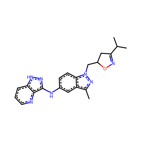 Cc1nn(CC2CC(C(C)C)=NO2)c2ccc(Nc3n[nH]c4cccnc34)cc12